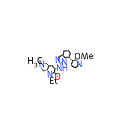 CCOc1nc2c(cc1Nc1ncc3cccc(-c4cccnc4OC)c3n1)CN(C)CC2